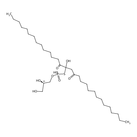 CCCCCCCCCCCCCC(=O)CC(O)(SP(=O)(O)OC[C@H](O)CO)C(=O)CCCCCCCCCCCCC